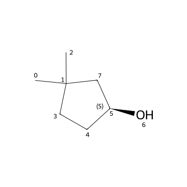 CC1(C)CC[C@H](O)C1